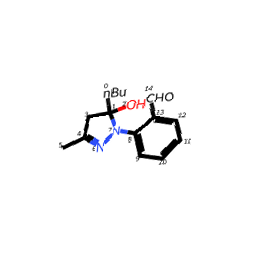 CCCCC1(O)CC(C)=NN1c1ccccc1C=O